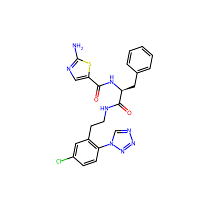 Nc1ncc(C(=O)N[C@@H](Cc2ccccc2)C(=O)NCCc2cc(Cl)ccc2-n2cnnn2)s1